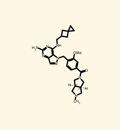 COc1cc(C(=O)N2C[C@H]3CN(C)C[C@H]3C2)ccc1Cn1ncc2nc(N)nc(NCC3CC4(CC4)C3)c21